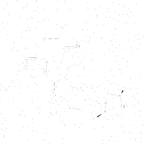 Fc1ccc(-c2nc3ccc(N4C[C@H]5C[C@@H]4CN5)nc3n2-c2ccnc(C(F)F)c2)cc1